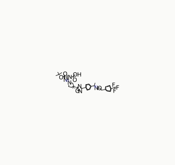 C/C(=N\OCc1ccc(C(F)(F)F)cc1)c1ccc(-c2noc([C@@H]3CCN(/C(=N/C(=O)OC(C)(C)C)NC(=O)O)C3)n2)cc1